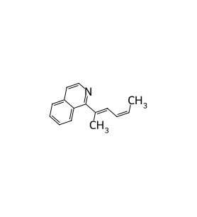 C/C=C\C=C(/C)c1nccc2ccccc12